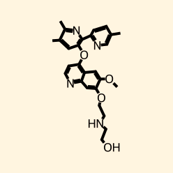 COc1cc2c(Oc3cc(C)c(C)nc3-c3ccc(C)cn3)ccnc2cc1OCCNCCO